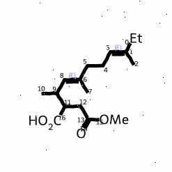 CC/C(C)=C/CC/C(C)=C/C(C)C(CC(=O)OC)C(=O)O